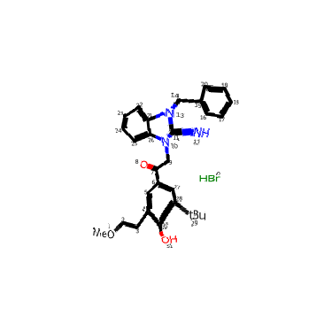 Br.COCCc1cc(C(=O)Cn2c(=N)n(Cc3ccccc3)c3ccccc32)cc(C(C)(C)C)c1O